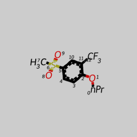 CCCOc1ccc(S(C)(=O)=O)cc1C(F)(F)F